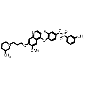 COc1cc2c(Oc3ccc(NS(=O)(=O)c4cccc(C)c4)cc3F)ccnc2cc1OCCCN1CCCC(C)C1